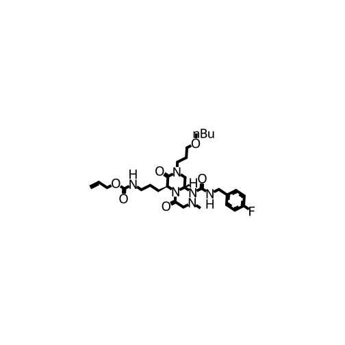 C=CCOC(=O)NCCC[C@H]1C(=O)N(CCCOCCCC)C[C@H]2N1C(=O)CN(C)N2C(=O)NCc1ccc(F)cc1